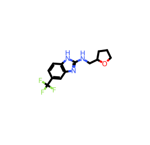 FC(F)(F)c1ccc2[nH]c(NCC3CCCO3)nc2c1